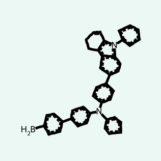 Bc1ccc(-c2ccc(N(c3ccccc3)c3ccc(-c4ccc5c(c4)c4c(n5-c5ccccc5)C=CCC4)cc3)cc2)cc1